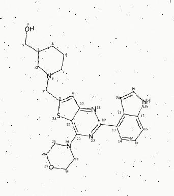 OCC1CCCN(Cc2cc3nc(-c4cccc5[nH]ccc45)nc(N4CCOCC4)c3s2)C1